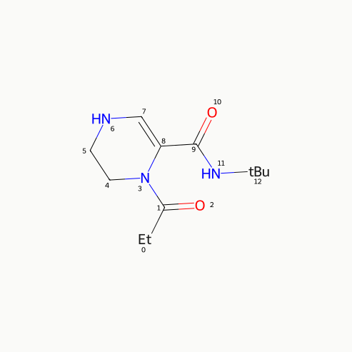 CCC(=O)N1CCNC=C1C(=O)NC(C)(C)C